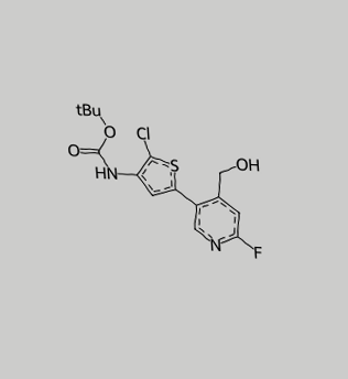 CC(C)(C)OC(=O)Nc1cc(-c2cnc(F)cc2CO)sc1Cl